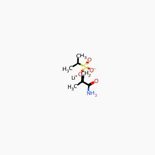 C=C(C)C(N)=O.CC(C)S(=O)(=O)[O-].[Li+]